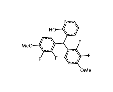 COc1ccc(C(c2cccnc2O)c2ccc(OC)c(F)c2F)c(F)c1F